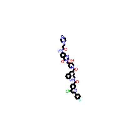 CN1CCN(CCC(=O)Nc2ccc3c(=O)n(CC4(O)CCN(C(=O)[C@@H](CCCNC(=O)c5ccc6c(Cl)cc(-c7ccc(F)cc7)nc6c5)Cc5ccccc5)CC4)cnc3c2)CC1